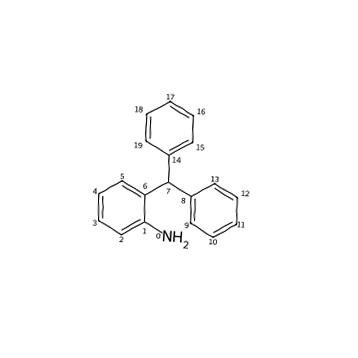 Nc1ccccc1C(c1ccccc1)c1ccccc1